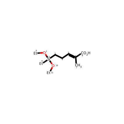 CCO[Si]([CH]CC=C(C)C(=O)O)(CC)OCC